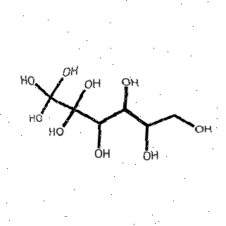 OCC(O)C(O)C(O)C(O)(O)C(O)(O)O